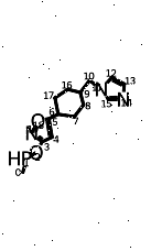 CPOc1cc(C2CCC(Cn3ccnc3)CC2)on1